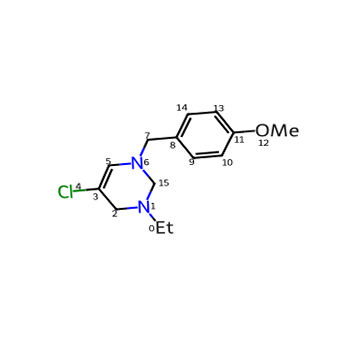 CCN1CC(Cl)=CN(Cc2ccc(OC)cc2)C1